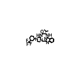 CC(C)[C@@H]1Nc2nc(nc3ccccc23)CN2CCN(C3CCCC(C(F)(F)F)C3)CC2NC1=O